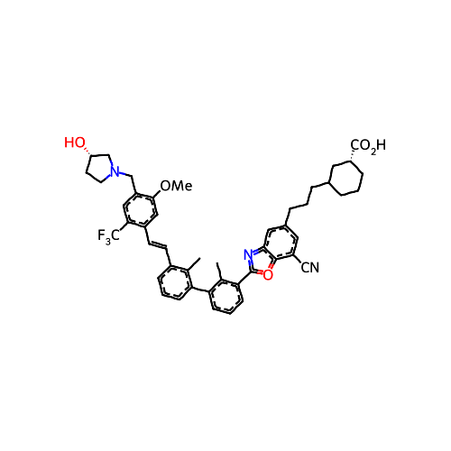 COc1cc(/C=C/c2cccc(-c3cccc(-c4nc5cc(CCCC6CCC[C@@H](C(=O)O)C6)cc(C#N)c5o4)c3C)c2C)c(C(F)(F)F)cc1CN1CC[C@H](O)C1